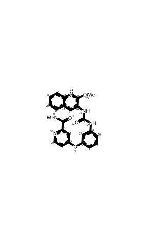 CNC(=O)c1cc(Oc2cccc(NC(=O)Nc3cc4ccccc4nc3OC)c2)ccn1